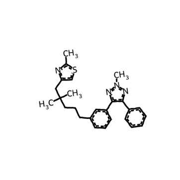 Cc1nc(CC(C)(C)CCCc2cccc(-c3nn(C)nc3-c3ccccc3)c2)cs1